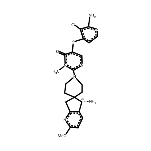 COc1ccc2c(n1)CC1(CCN(c3ncc(Sc4ccnc(N)c4Cl)c(=O)n3C)CC1)[C@@H]2N